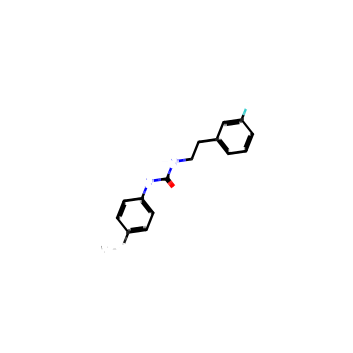 CSc1ccc(NC(=O)NCCc2cccc(F)c2)cc1